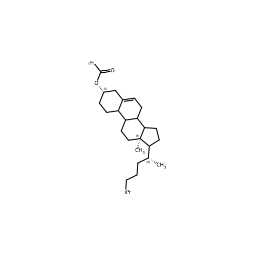 CC(C)CCC[C@@H](C)C1CCC2C3CC=C4C[C@@H](OC(=O)C(C)C)CCC4C3CC[C@@]21C